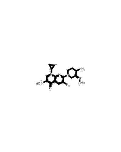 CON=C1CN(c2nc3c(cc2F)c(=O)c(C(=O)O)cn3C2CC2)CCC1N